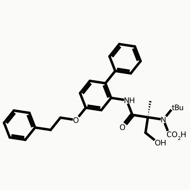 CC(C)(C)N(C(=O)O)[C@@](C)(CO)C(=O)Nc1cc(OCCc2ccccc2)ccc1-c1ccccc1